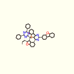 C=C(c1nc(-c2ccccc2)nc(-c2ccccc2)n1)c1c(/C=C\C)oc2cccc(-c3nc(-c4ccc5c(c4)oc4ccccc45)nc4c3sc3ccccc34)c12